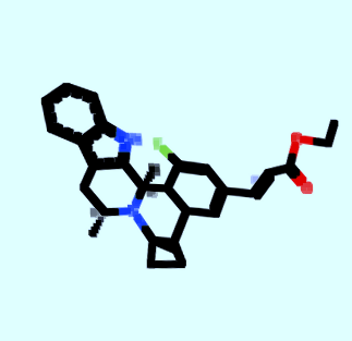 CCOC(=O)/C=C/C1=CC2C(C(F)=C1)[C@@H]1c3[nH]c4ccccc4c3C[C@@H](C)N1C13CC(C1)C23